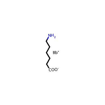 NCCCCCC(=O)[O-].[Rb+]